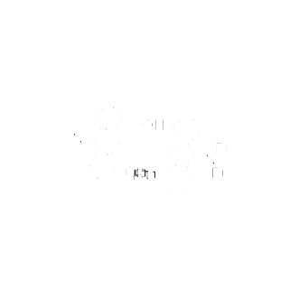 CCN(CC)c1c2ccccc2c(C2C(O)C(c3c4ccccc4c(N(C)C)c4cccc(O)c34)C2O)c2c(O)cccc12